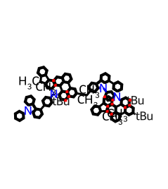 CC(C)(C)c1cc(-c2cccc3cccc(-c4ccccc4N(c4cccc(-c5cccc6c7ccc(CC(C)(C)c8cc(-c9cccc%10cccc(-c%11ccccc%11N(c%11ccc(-c%12cccc%13c%12c%12ccccc%12n%13-c%12ccccc%12)cc%11)c%11ccc%12c(c%11)C(C)(C)c%11ccccc%11-%12)c9%10)cc(C(C)(C)C)c8)cc7n(-c7ccccc7)c56)c4)c4ccc5c(c4)C(C)(C)c4ccccc4-5)c23)cc(C(C)(C)C)c1